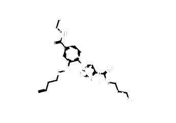 C=CCCCOc1cc(C(=O)NCC)ccc1-n1cc(C(=O)NCCCO)nn1